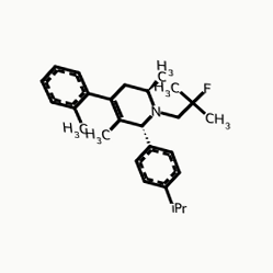 CC1=C(c2ccccc2C)C[C@@H](C)N(CC(C)(C)F)[C@@H]1c1ccc(C(C)C)cc1